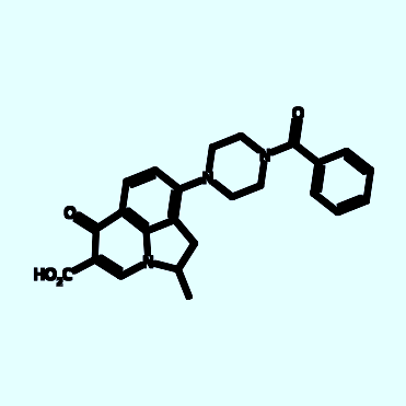 CC1Cc2c(N3CCN(C(=O)c4ccccc4)CC3)ccc3c(=O)c(C(=O)O)cn1c23